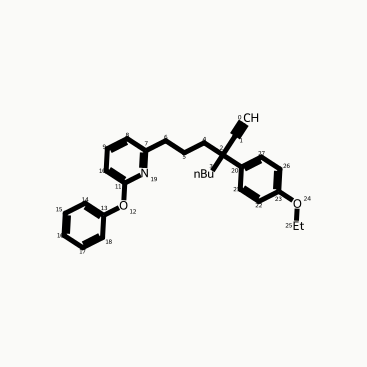 C#CC(CCCC)(CCCc1cccc(Oc2ccccc2)n1)c1ccc(OCC)cc1